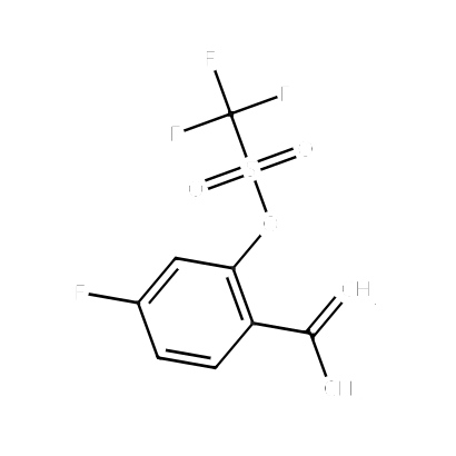 C=C(C)c1ccc(F)cc1OS(=O)(=O)C(F)(F)F